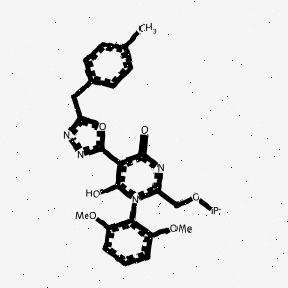 COc1cccc(OC)c1-n1c(COC(C)C)nc(=O)c(-c2nnc(Cc3ccc(C)cc3)o2)c1O